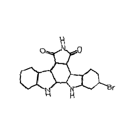 O=C1NC(=O)C2C1C1C3CCCCC3NC1C1NC3CC(Br)CCC3C12